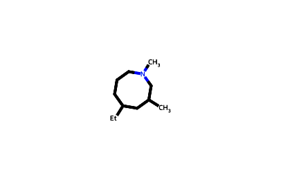 CCC1CCCN(C)CC(C)C1